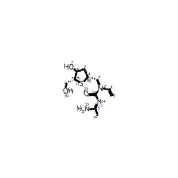 C=CN(C[C@H]1CC(O)[C@@H](CO)S1)C(=O)/N=C(/C)N